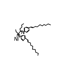 CCCCCCCCC=Cc1ccc(N=C(CC)C(CCCC)=Nc2ccc(C=CCCCCCCCC)cc2)cc1.[Ni]